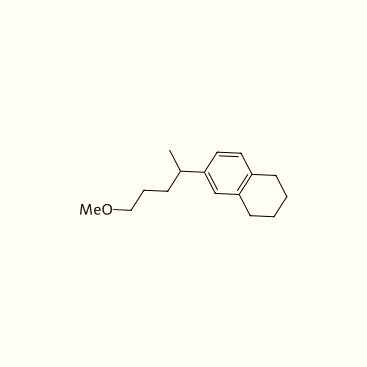 COCCCC(C)c1ccc2c(c1)CCCC2